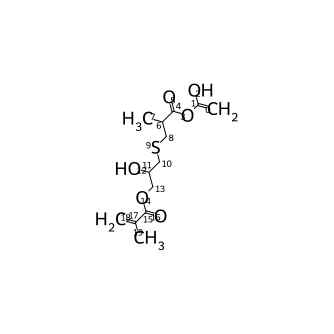 C=C(O)OC(=O)C(C)CSCC(O)COC(=O)C(=C)C